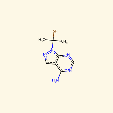 CC(C)(S)n1ncc2c(N)ncnc21